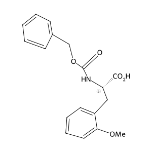 COc1ccccc1C[C@H](NC(=O)OCc1ccccc1)C(=O)O